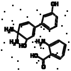 NC1(N)C=CC(c2cccc(O)c2)=CC1O.Nc1ccccc1C(=O)O